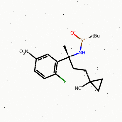 CC(C)(C)[S@@+]([O-])N[C@](C)(CCC1(C#N)CC1)c1cc([N+](=O)[O-])ccc1F